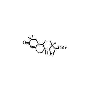 CC[C@H]1[C@@H]2CCC3=CC(=O)C(C)(C)CC3=C2CC[C@]1(C)C(C)OC(C)=O